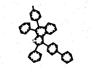 Cc1ccc(-c2c(-c3ccccc3)c3sc(-c4ccccc4)c(-c4ccc(-c5ccccc5)cc4)c3c3ccccc23)cc1